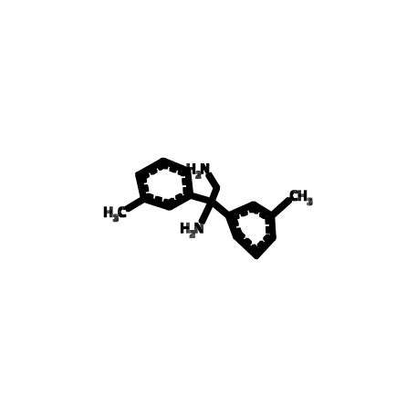 Cc1cccc(C(N)(CN)c2cccc(C)c2)c1